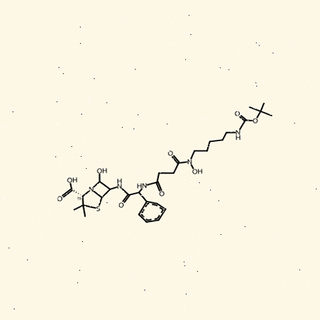 CC(C)(C)OC(=O)NCCCCCN(O)C(=O)CCC(=O)NC(C(=O)NC1C(O)N2C1SC(C)(C)[C@@H]2C(=O)O)c1ccccc1